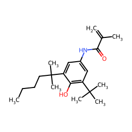 C=C(C)C(=O)Nc1cc(C(C)(C)C)c(O)c(C(C)(C)CCCC)c1